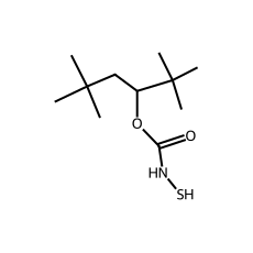 CC(C)(C)CC(OC(=O)NS)C(C)(C)C